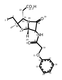 C[C@@]1(CI)S[C@H]2C(NC(=O)COc3ccccc3)C(=O)N2[C@H]1CC(=O)O